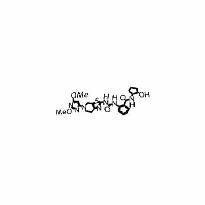 COc1cc(N2CCc3nc(NC(=O)Nc4ccccc4C(=O)NC4CCCC4O)sc3C2)nc(OC)n1